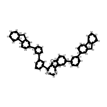 c1cc(-c2cccc(-c3ncnc4c3oc3ccc(-c5cccc(-c6ccc7c(c6)Cc6ccccc6-7)c5)cc34)c2)cc(-c2ccc3c(c2)Cc2ccccc2-3)c1